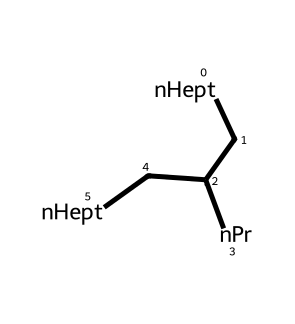 CCCCCCCC[C](CCC)CCCCCCCC